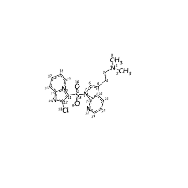 CN(C)CCc1cn(S(=O)(=O)c2c(Cl)nc3ccccn23)c2ncccc12